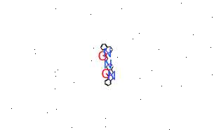 O=C1c2ccccc2CN1CC1CCN(CCC(=O)N2CCCc3ccccc32)CC1